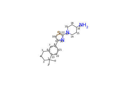 CC1(C)CCCc2cc(-c3csc(N4CCC(N)CC4)n3)ccc21